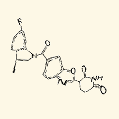 C[C@@H]1CN(C(=O)c2ccc3nc(C4CCC(=O)NC4=O)oc3c2)c2cc(F)ccc21